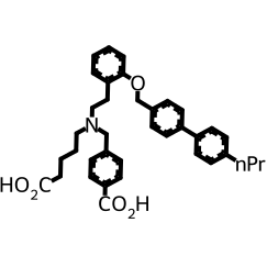 CCCc1ccc(-c2ccc(COc3ccccc3CCN(CCCCC(=O)O)Cc3ccc(C(=O)O)cc3)cc2)cc1